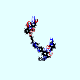 CC[C@H](C)n1cc(C)c2c(C(=O)NCc3c(C)cc(C)[nH]c3=O)cc(-c3ccc(N4CCN(CCCCCOc5cccc6c5C(=O)N(C5CCC(=O)NC5=O)C6=O)CC4)nc3)cc21